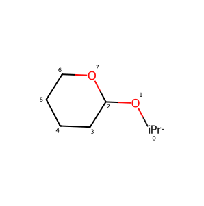 C[C](C)OC1CCCCO1